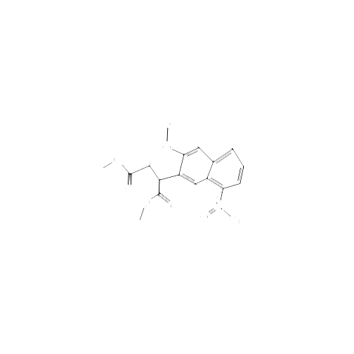 COC(=O)CC(C(=O)OC)c1cc2c([N+](=O)[O-])cccc2cc1OC